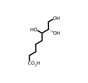 O=C(O)CCCCC(O)[C@@H](O)CO